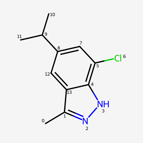 Cc1n[nH]c2c(Cl)cc(C(C)C)cc12